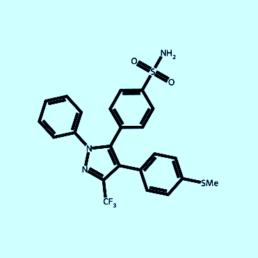 CSc1ccc(-c2c(C(F)(F)F)nn(-c3ccccc3)c2-c2ccc(S(N)(=O)=O)cc2)cc1